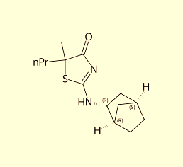 CCCC1(C)SC(N[C@@H]2C[C@H]3CC[C@@H]2C3)=NC1=O